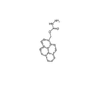 NNC(=O)OCc1ccc2ccc3cccc4ccc1c2c34